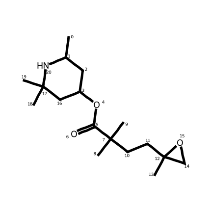 CC1CC(OC(=O)C(C)(C)CCC2(C)CO2)CC(C)(C)N1